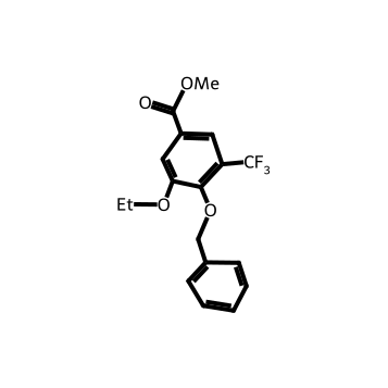 CCOc1cc(C(=O)OC)cc(C(F)(F)F)c1OCc1ccccc1